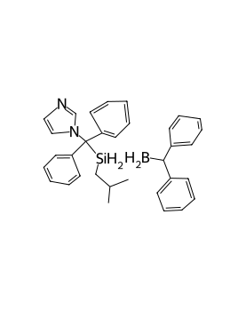 BC(c1ccccc1)c1ccccc1.CC(C)C[SiH2]C(c1ccccc1)(c1ccccc1)n1ccnc1